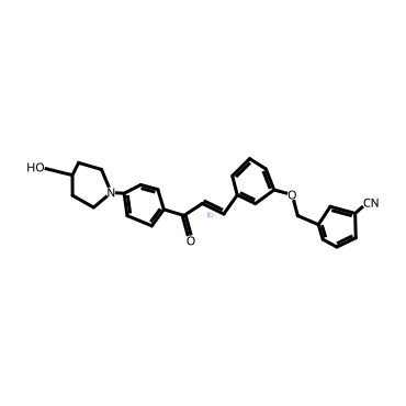 N#Cc1cccc(COc2cccc(/C=C/C(=O)c3ccc(N4CCC(O)CC4)cc3)c2)c1